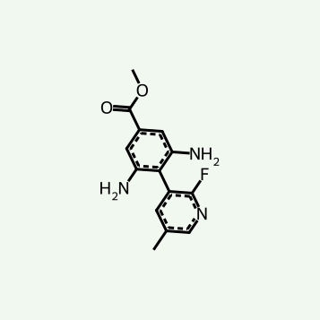 COC(=O)c1cc(N)c(-c2cc(C)cnc2F)c(N)c1